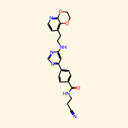 N#CCCNC(=O)c1ccc(-c2cc(NCCc3ccnc4c3OCCO4)ncn2)cc1